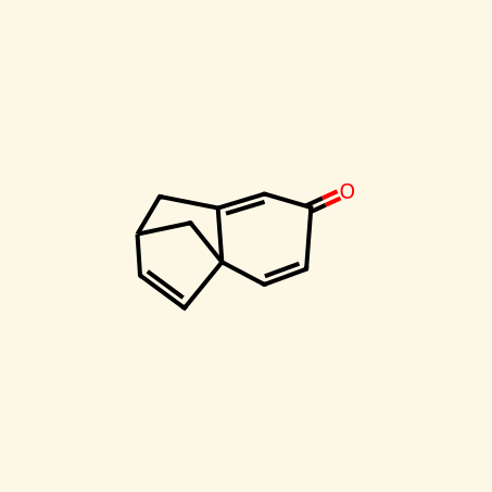 O=C1C=CC23C=CC(CC2=C1)C3